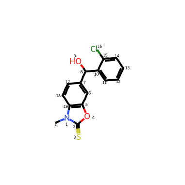 Cn1c(=S)oc2cc(C(O)c3ccccc3Cl)ccc21